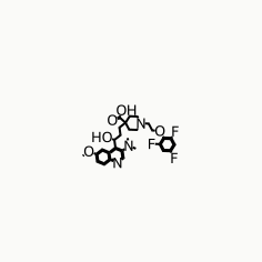 COc1ccc2ncc(N(C)C)c(C(O)CCC3(C(=O)O)CCN(CCOc4c(F)cc(F)cc4F)CC3)c2c1